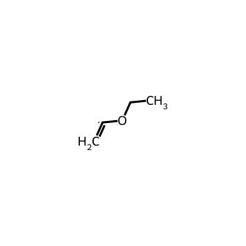 C=[C]OCC